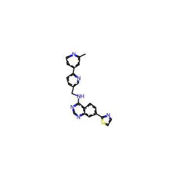 Cc1cc(-c2ccc(CNc3ncnc4cc(-c5nccs5)ccc34)cn2)ccn1